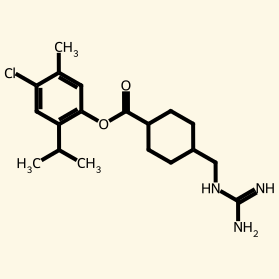 Cc1cc(OC(=O)C2CCC(CNC(=N)N)CC2)c(C(C)C)cc1Cl